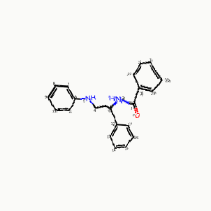 O=C(NC(CNc1ccccc1)c1ccccc1)c1ccccc1